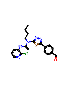 C=C(Nc1cccnc1Cl)N(CCCC)c1nnc(-c2ccc(C=O)cc2)s1